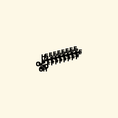 O=S(=O)(O)NC(F)(F)C(F)(F)C(F)(F)C(F)(F)C(F)(F)C(F)(F)C(F)(F)C(F)(F)F